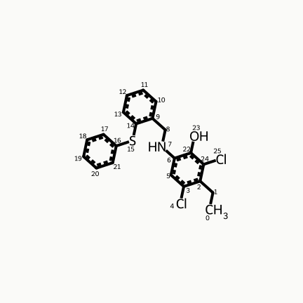 CCc1c(Cl)cc(NCc2ccccc2Sc2ccccc2)c(O)c1Cl